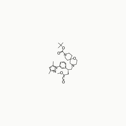 COC(=C=O)C[C@H](CN1CCOC2(CCN(C(=O)OC(C)(C)C)CC2)C1)c1cccc(-n2nc(C)cc2C)c1